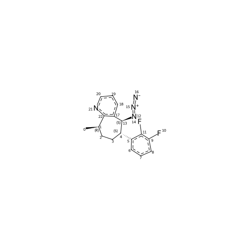 C[C@@H]1CC[C@@H](c2cccc(F)c2F)[C@H](N=[N+]=[N-])c2cccnc21